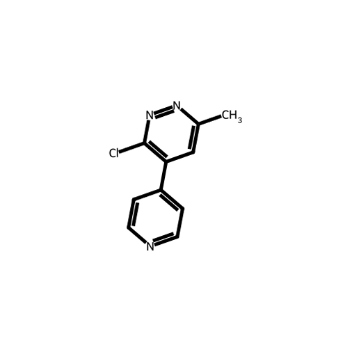 Cc1cc(-c2ccncc2)c(Cl)nn1